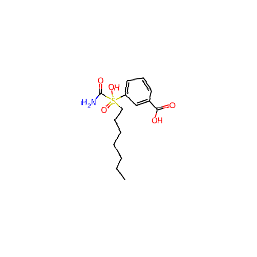 CCCCCCCS(=O)(O)(C(N)=O)c1cccc(C(=O)O)c1